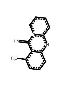 N=c1c2c(C(F)(F)F)cccc2nc2ccccn12